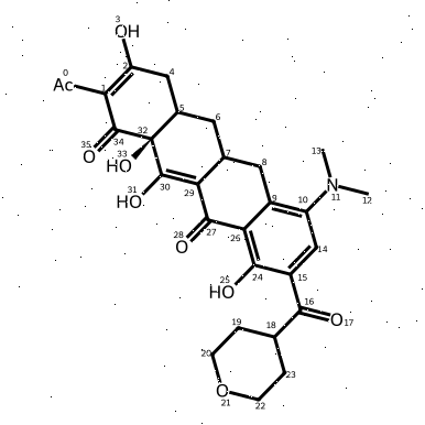 CC(=O)C1=C(O)CC2CC3Cc4c(N(C)C)cc(C(=O)C5CCOCC5)c(O)c4C(=O)C3=C(O)[C@]2(O)C1=O